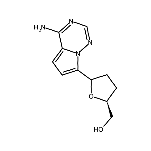 Nc1ncnn2c(C3CC[C@@H](CO)O3)ccc12